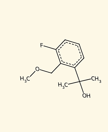 COCc1c(F)cccc1C(C)(C)O